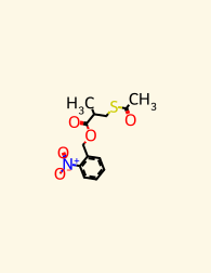 CC(=O)SCC(C)C(=O)OCc1ccccc1[N+](=O)[O-]